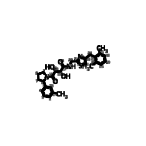 Cc1cccc(C2CCCN2C(=O)[C@H](O)[C@@H](O)C(=O)NCc2nc(Cc3c(C)cccc3C)cs2)c1